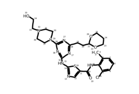 Cc1cccc(Cl)c1NC(=O)c1cnc(Nc2nc(CCC3OCCCO3)nc(N3CCN(CCO)CC3)n2)s1